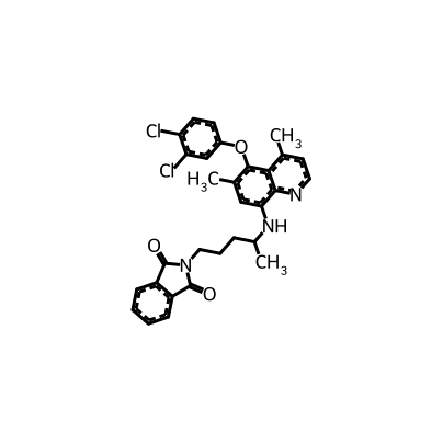 Cc1cc(NC(C)CCCN2C(=O)c3ccccc3C2=O)c2nccc(C)c2c1Oc1ccc(Cl)c(Cl)c1